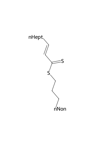 CCCCCCC/C=C/C(=S)SCCCCCCCCCCCC